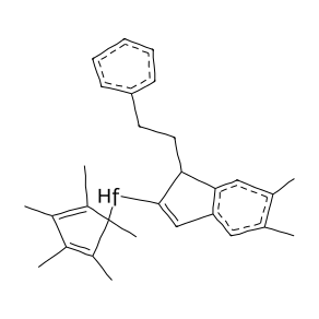 CC1=C(C)[C](C)([Hf][C]2=Cc3cc(C)c(C)cc3C2CCc2ccccc2)C(C)=C1C